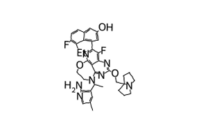 CCc1c(F)ccc2cc(O)cc(-c3nc4c5c(nc(OCC67CCCN6CCC7)nc5c3F)N(C(C)c3cc(C)cnc3N)CCO4)c12